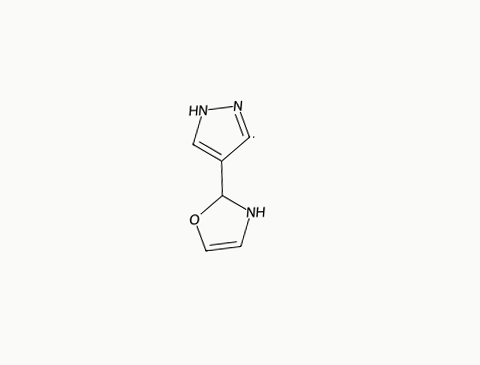 [c]1n[nH]cc1C1NC=CO1